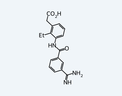 CCc1c(CC(=O)O)cccc1NC(=O)c1cccc(C(=N)N)c1